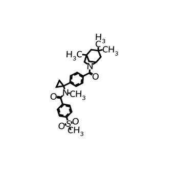 CN(C(=O)c1ccc(S(C)(=O)=O)cc1)C1(c2ccc(C(=O)N3CC4(C)CC3CC(C)(C)C4)cc2)CC1